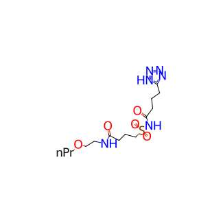 CCCOCCNC(=O)CCCS(=O)(=O)NC(=O)CCCc1nnn[nH]1